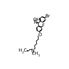 C=CCN(C)CCCCCCOc1ccc(C(=NO)c2ccc(Br)cc2)c(F)c1